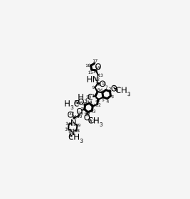 COc1ccc2c(c1)C(CC(=O)NCc1ccco1)=C(C)C2=Cc1cc(OC)c(OCC(=O)N2CCN(C)CC2)c(OC)c1